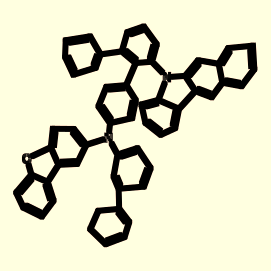 C1=CCCC(c2cccc(N(c3ccc(-c4c(-c5ccccc5)cccc4-n4c5ccccc5c5cc6ccccc6cc54)cc3)c3ccc4oc5ccccc5c4c3)c2)=C1